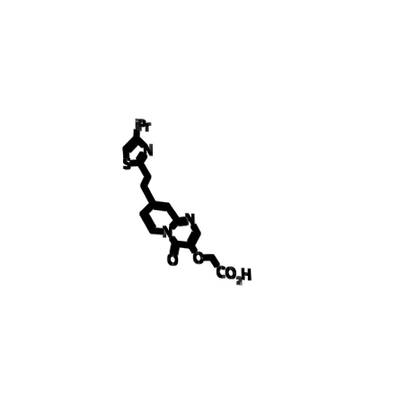 CC(C)c1csc(CCc2ccn3c(=O)c(OCC(=O)O)cnc3c2)n1